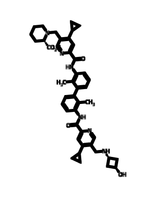 Cc1c(NC(=O)c2cc(C3CC3)c(CN[C@H]3C[C@H](O)C3)cn2)cccc1-c1cccc(NC(=O)c2cc(C3CC3)c(CN3CCCC[C@H]3C(=O)O)cn2)c1C